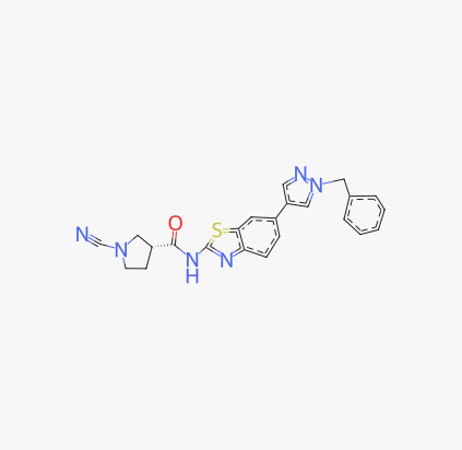 N#CN1CC[C@@H](C(=O)Nc2nc3ccc(-c4cnn(Cc5ccccc5)c4)cc3s2)C1